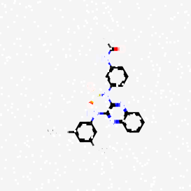 COc1cc(Nc2nc3ccccc3nc2N(c2cccc(NC(=O)C(C)C)c2)[SH](=O)=O)cc(OC)c1